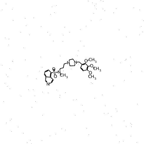 COc1ccc(CN2CCN(CCCN(C)S(=O)(=O)c3cccc4cnccc34)CC2)c(OC)c1OC